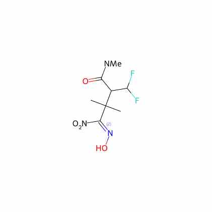 CNC(=O)C(C(F)F)C(C)(C)/C(=N/O)[N+](=O)[O-]